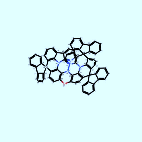 c1ccc2c(c1)-c1ccccc1C21c2cccc3c2N2c4c1ccc1c4[N+]4(c5c(ccc6c5-n5c7c(cccc7c7ccc[n+]4c75)[Si]64c5ccccc5-c5ccccc54)O1)[n+]1cccc(c12)C31c2ccccc2-c2ccccc21